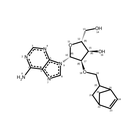 Nc1ncnc2c1ncn2[C@@H]1O[C@H](CO)[C@@H](O)[C@H]1OCC1CC2C=CC1C2